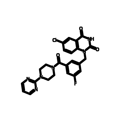 O=C(c1cc(F)cc(Cn2c(=O)[nH]c(=O)c3cc(Cl)ccc32)c1)N1CCN(c2ncccn2)CC1